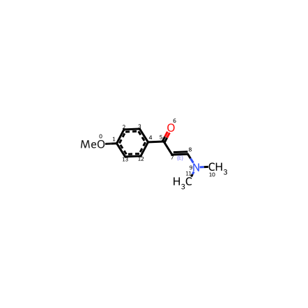 COc1ccc(C(=O)/C=C/N(C)C)cc1